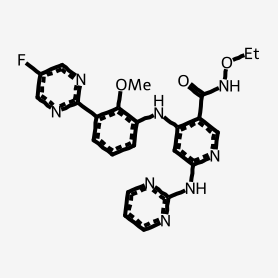 CCONC(=O)c1cnc(Nc2ncccn2)cc1Nc1cccc(-c2ncc(F)cn2)c1OC